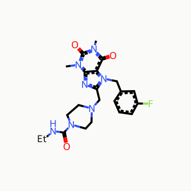 CCNC(=O)N1CCN(Cc2nc3c(c(=O)n(C)c(=O)n3C)n2Cc2cccc(F)c2)CC1